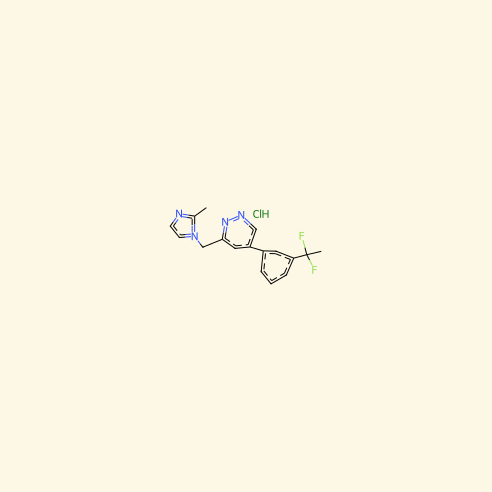 Cc1nccn1Cc1cc(-c2cccc(C(C)(F)F)c2)cnn1.Cl